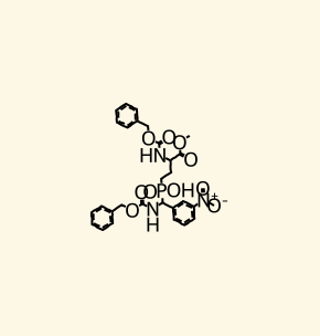 COC(=O)C(CCP(=O)(O)C(NC(=O)OCc1ccccc1)c1cccc([N+](=O)[O-])c1)NC(=O)OCc1ccccc1